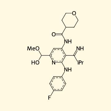 COC(O)c1cc(NC(=O)C2CCOCC2)c(C(=N)C(C)C)c(Nc2ccc(F)cc2)n1